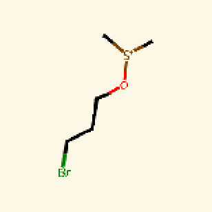 C[S+](C)OCCCBr